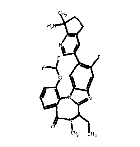 CCC1c2nc3cc(F)c(-c4cnc5c(c4)CCC5(C)N)cc3n2-c2c(OC(F)F)cccc2C(=O)N1C